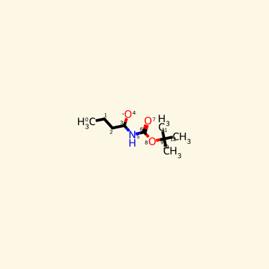 CCCC([O])NC(=O)OC(C)(C)C